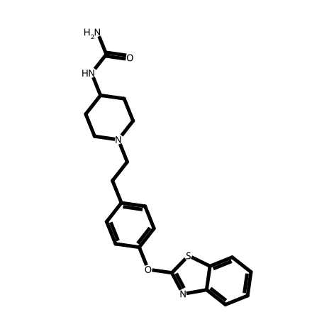 NC(=O)NC1CCN(CCc2ccc(Oc3nc4ccccc4s3)cc2)CC1